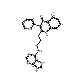 O=c1c(-c2ccccc2)c(CCCNc2ncnc3[nH]cnc23)oc2cccc(F)c12